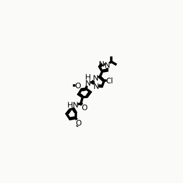 COc1cccc(NC(=O)c2ccc(Nc3ncc(Cl)c(-c4cnn(C(C)C)c4)n3)c(OC)c2)c1